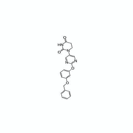 O=C1CCN(c2cnc(Oc3cccc(OCc4ccccc4)c3)nc2)C(=O)N1